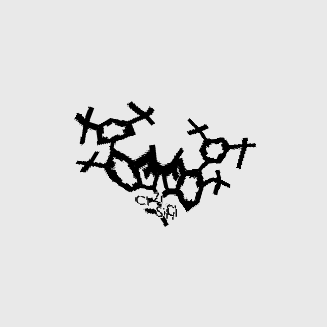 CC(C)C1=Cc2c(ccc(C(C)(C)C)c2-c2cc(C(C)(C)C)cc(C(C)(C)C)c2)[CH]1[Zr]([Cl])([Cl])([CH]1C(C(C)C)=Cc2c1ccc(C(C)(C)C)c2-c1cc(C(C)(C)C)cc(C(C)(C)C)c1)[SiH](C)C